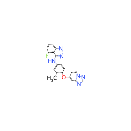 Cc1cc(Nc2ncnc3cccc(F)c23)ccc1Oc1ccn2ncnc2c1